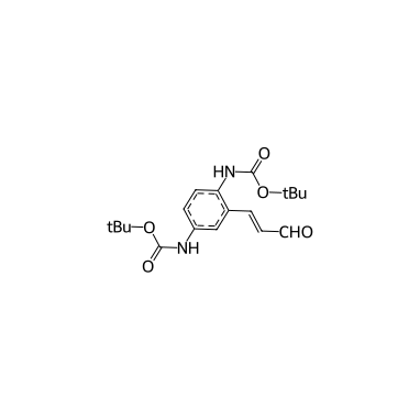 CC(C)(C)OC(=O)Nc1ccc(NC(=O)OC(C)(C)C)c(C=CC=O)c1